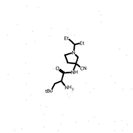 CCC(CC)N1CCC(C#N)(NC(=O)C(N)CC(C)(C)C)C1